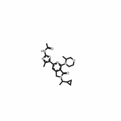 CC(=O)Nc1nc(C)c(-c2cc3c(c(N4CCOCC4C)n2)C(=O)N(C(C)C2CC2)C3)s1